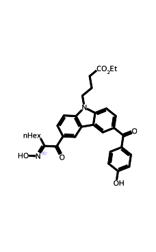 CCCCCC/C(=N\O)C(=O)c1ccc2c(c1)c1cc(C(=O)c3ccc(O)cc3)ccc1n2CCCC(=O)OCC